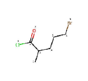 CC(CCCBr)C(=O)Cl